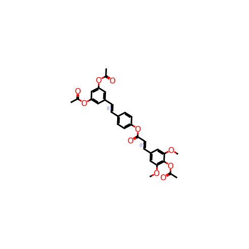 COc1cc(/C=C/C(=O)Oc2ccc(/C=C/c3cc(OC(C)=O)cc(OC(C)=O)c3)cc2)cc(OC)c1OC(C)=O